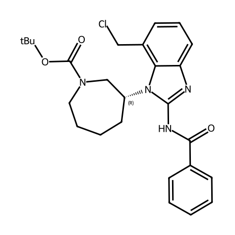 CC(C)(C)OC(=O)N1CCCC[C@@H](n2c(NC(=O)c3ccccc3)nc3cccc(CCl)c32)C1